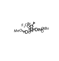 COCCN1CCC(Oc2nc(N3CCC4(CC3)CN(C(=O)OC(C)(C)C)C4)c3cc(C4CC4)c(Br)c(OCC(F)(F)F)c3n2)CC1